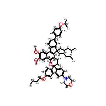 CCCCCC1(CCCCC)c2cc(-c3ccc(OC(C)C)cc3)ccc2-c2c1c1c(c3cc(OC)c(OC)cc23)OC(c2ccc(OCCCC)cc2)(c2ccc(N3CCOCC3)cc2)C=C1